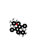 Fc1c(F)c(F)c(-n2c3ccccc3c3c4ccccc4c4c(c5ccccc5c5c6ccccc6n(-c6c(F)c(F)c(F)c(F)c6F)c54)c32)c(F)c1F